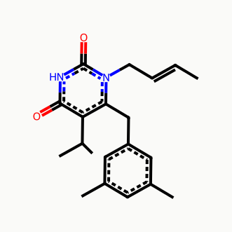 CC=CCn1c(Cc2cc(C)cc(C)c2)c(C(C)C)c(=O)[nH]c1=O